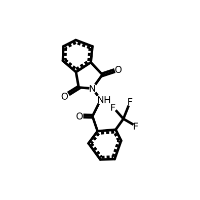 O=C(NN1C(=O)c2ccccc2C1=O)c1ccccc1C(F)(F)F